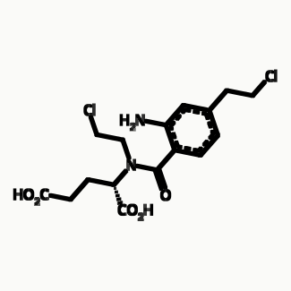 Nc1cc(CCCl)ccc1C(=O)N(CCCl)[C@@H](CCC(=O)O)C(=O)O